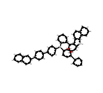 c1ccc(-c2ccc(N(c3ccc(-c4ccc(-c5ccc6ccccc6c5)cc4)cc3)c3ccccc3-c3cccc4oc5c6ccccc6ccc5c34)cc2)cc1